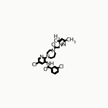 Cc1cc(C)n(CC(=O)N2CCCN(c3ncc(Cl)cc3NC(=O)c3cccc(Cl)c3)CC2)n1